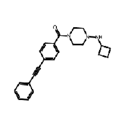 O=C(c1ccc(C#Cc2ccccc2)cc1)N1CCN(NC2CCC2)CC1